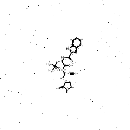 CC(C)(C)C[C@H](NC(=O)c1cc2ccccc2[nH]1)C(=O)N[C@H](C#N)C[C@@H]1CCNC1=O